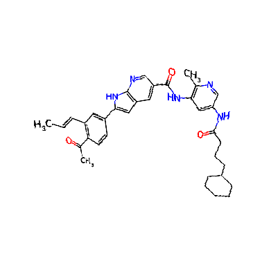 C/C=C/c1cc(-c2cc3cc(C(=O)Nc4cc(NC(=O)CCCC5CCCCC5)cnc4C)cnc3[nH]2)ccc1C(C)=O